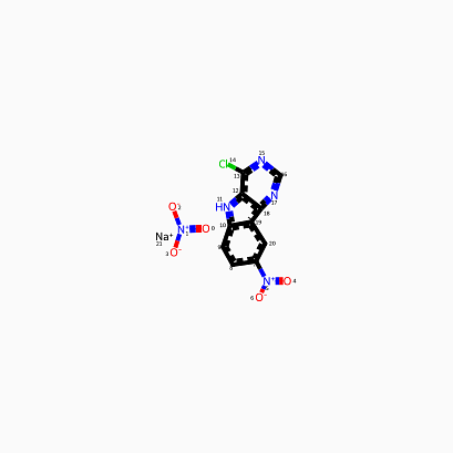 O=[N+]([O-])[O-].O=[N+]([O-])c1ccc2[nH]c3c(Cl)ncnc3c2c1.[Na+]